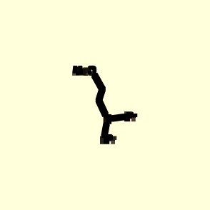 CCCN(CCOC)C(C)C